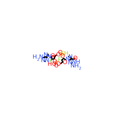 Nc1nc2c(ncn2C2OC3COP(=O)(O)OC4C(COP(=O)(S)OC2C3F)OC(n2cnc3c(N)ncnc32)C4F)c(=O)[nH]1